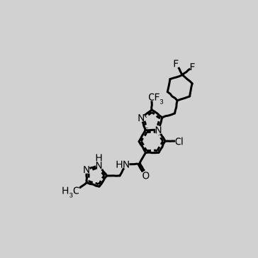 Cc1cc(CNC(=O)c2cc(Cl)n3c(CC4CCC(F)(F)CC4)c(C(F)(F)F)nc3c2)[nH]n1